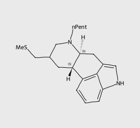 CCCCCN1CC(CSC)C[C@H]2c3cccc4[nH]cc(c34)C[C@@H]21